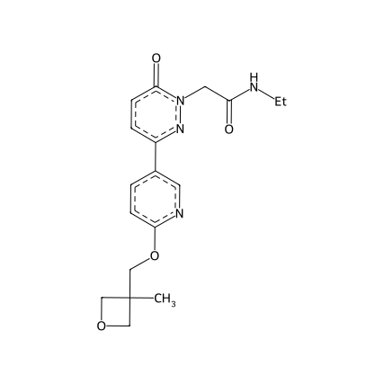 CCNC(=O)Cn1nc(-c2ccc(OCC3(C)COC3)nc2)ccc1=O